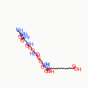 NCCC[C@H](N)C(=O)N[C@H](C=O)CCCCNC(=O)COCCOCCNC(=O)COCCOCCNC(=O)CC[C@H](NC(=O)CCCCCCCCCCCCCCCCCCC(=O)O)C(=O)O